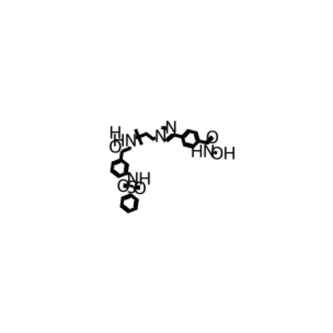 CC(C)(CCn1cnc(-c2ccc(C(=O)NO)cc2)c1)NCC(O)c1cccc(NS(=O)(=O)c2ccccc2)c1